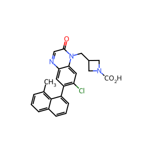 Cc1cccc2cccc(-c3cc4ncc(=O)n(CC5CN(C(=O)O)C5)c4cc3Cl)c12